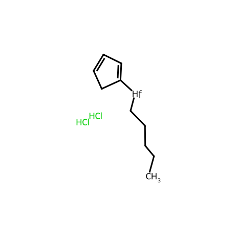 CCCC[CH2][Hf][C]1=CC=CC1.Cl.Cl